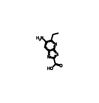 CCc1nc2sc(C(=O)O)nc2cc1N